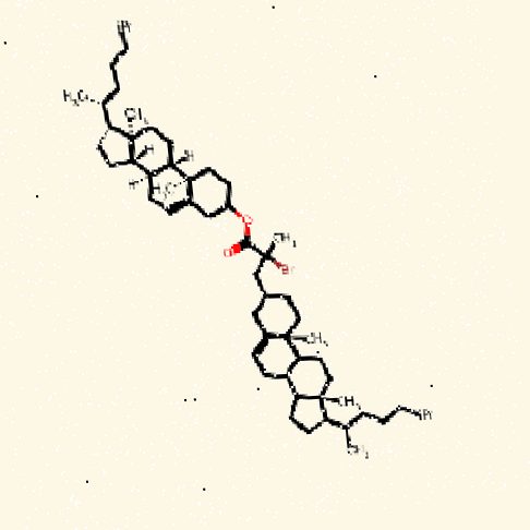 CC(C)CCC[C@@H](C)[C@H]1CC[C@H]2[C@@H]3CC=C4CC(OC(=O)C(C)(Br)CC5CC[C@@]6(C)C(=CCC7C6CC[C@@]6(C)C7CC[C@@H]6[C@H](C)CCCC(C)C)C5)CC[C@]4(C)[C@H]3CC[C@]12C